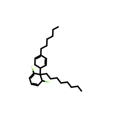 CCCCCCCCC1(C2C=CC(CCCCCC)=CC2)C(F)=CC=CC1F